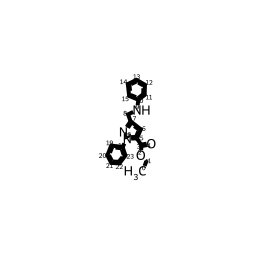 CCOC(=O)c1cc(CNc2ccccc2)nn1-c1ccccc1